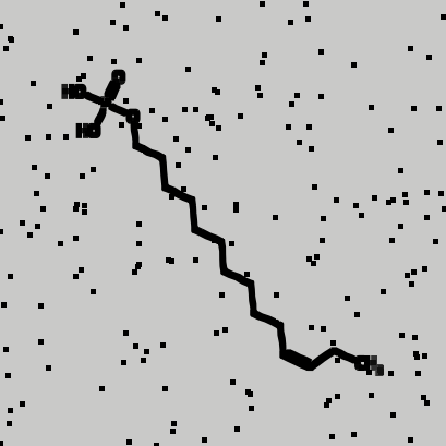 CC/C=C\CCCCCCCCCCOP(=O)(O)O